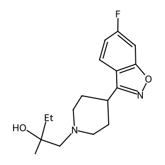 CCC(C)(O)CN1CCC(c2noc3cc(F)ccc23)CC1